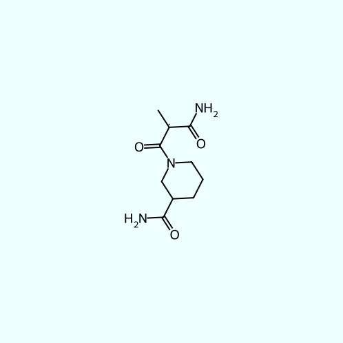 C[C](C(N)=O)C(=O)N1CCCC(C(N)=O)C1